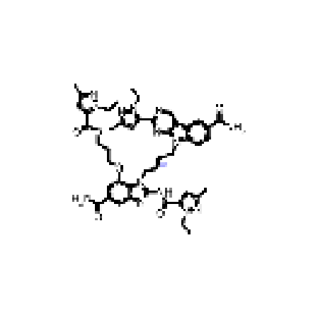 CCn1nc(C)cc1C(=O)Nc1nc2cc(C(N)=O)cc(OCCCOC(=O)c3cc(C)nn3CC)c2n1C/C=C/Cn1c2ccc(C(N)=O)cc2c2cnc(-c3cc(C)nn3CC)nc21